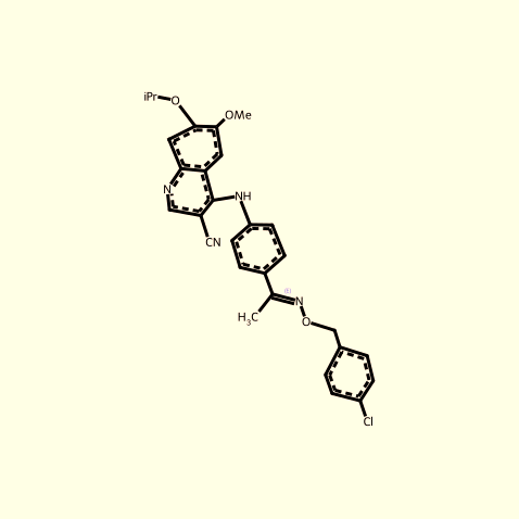 COc1cc2c(Nc3ccc(/C(C)=N/OCc4ccc(Cl)cc4)cc3)c(C#N)cnc2cc1OC(C)C